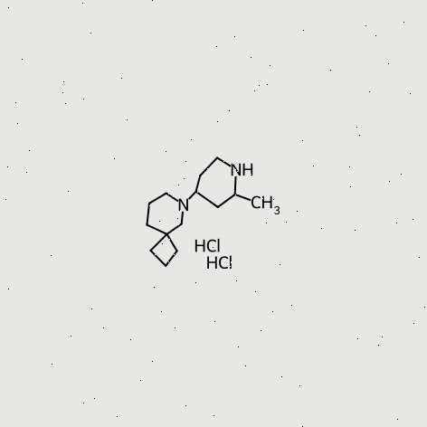 CC1CC(N2CCCC3(CCC3)C2)CCN1.Cl.Cl